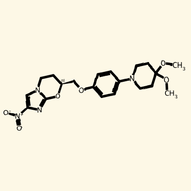 COC1(OC)CCN(c2ccc(OC[C@@H]3CCn4cc([N+](=O)[O-])nc4O3)cc2)CC1